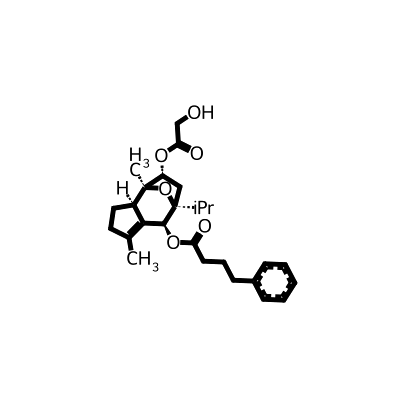 CC1=C2[C@@H](CC1)[C@]1(C)O[C@@](C(C)C)(C[C@H]1OC(=O)CO)[C@H]2OC(=O)CCCc1ccccc1